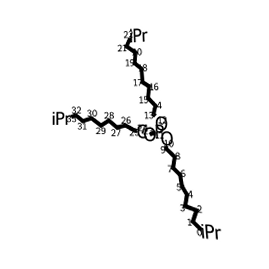 CC(C)CCCCCCCCCOP(OCCCCCCCCCC(C)C)OCCCCCCCCCC(C)C